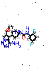 CC(C)OCc1cn2ncnc(N)c2c1-c1ccc(NC(=O)Nc2cc(F)ccc2F)cc1